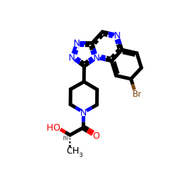 C[C@H](O)C(=O)N1CCC(c2nnc3cnc4c(n23)=CC(Br)CC=4)CC1